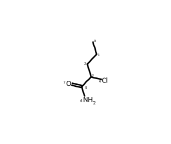 CCCC(Cl)C(N)=O